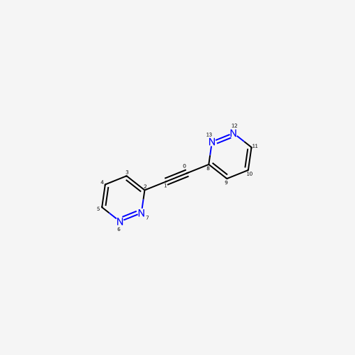 C(#Cc1cccnn1)c1cccnn1